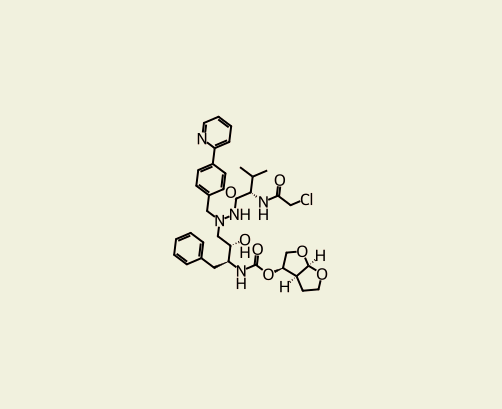 CC(C)[C@H](NC(=O)CCl)C(=O)NN(Cc1ccc(-c2ccccn2)cc1)C[C@H](O)[C@H](Cc1ccccc1)NC(=O)O[C@H]1CO[C@H]2OCC[C@H]21